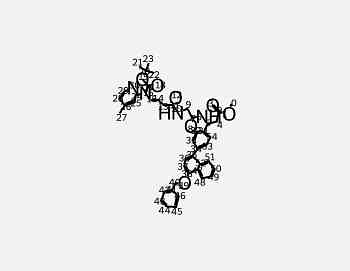 COC(=O)CC(NC(=O)CNC(=O)CCCN(C(=O)OC(C)(C)C)c1cc(C)ccn1)c1ccc(-c2ccc(OCc3ccccc3)c3ccccc23)cc1